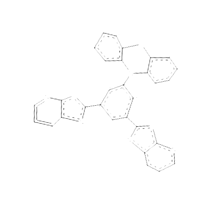 C1=C=Nc2sc(-c3cc(-c4nc5cccnc5s4)cc(N4c5ccccc5Sc5ccccc54)c3)nc2C=1